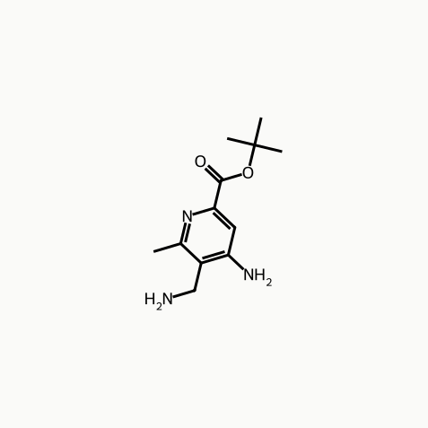 Cc1nc(C(=O)OC(C)(C)C)cc(N)c1CN